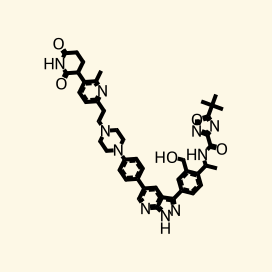 Cc1nc(CCN2CCN(c3ccc(-c4cnc5[nH]nc(-c6ccc(C(C)NC(=O)c7noc(C(C)(C)C)n7)c(CO)c6)c5c4)cc3)CC2)ccc1C1CCC(=O)NC1=O